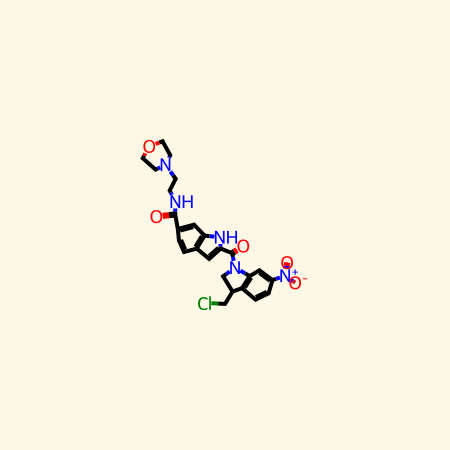 O=C(NCCN1CCOCC1)c1ccc2cc(C(=O)N3CC(CCl)c4ccc([N+](=O)[O-])cc43)[nH]c2c1